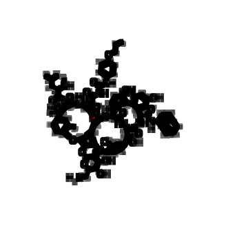 CCCOc1ccc(NC(=O)NC(=O)C[C@@H]2NC(=O)[C@H](NC(=O)[C@@H](CC(C)C)NC)[C@H](O)c3ccc(c(C)c3)Oc3cc4cc(c3O[C@@H]3O[C@H](CN)[C@@H](O)[C@H](O)[C@H]3O)Oc3ccc(cc3Cl)[C@@H](O)[C@@H]3NC(=O)[C@H](NC(=O)[C@@H]4NC2=O)c2ccc(O)c(c2)-c2c(O)cc(O)cc2[C@@H](C(=O)NC2C4CC5CC(C4)CC2C5)NC3=O)cc1